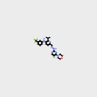 CC(C)c1nc(/C=N/Nc2ncc(F)c(N3CCOCC3)n2)ccc1Nc1cccc(C(F)(F)F)c1